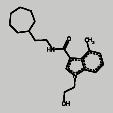 Cc1cccc2c1c(C(=O)NCCC1CCCCCC1)cn2CCO